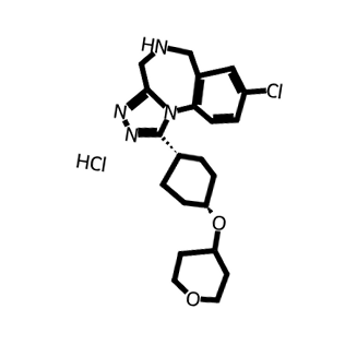 Cl.Clc1ccc2c(c1)CNCc1nnc([C@H]3CC[C@@H](OC4CCOCC4)CC3)n1-2